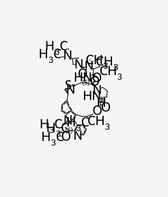 CCN(CC)C1CN(C(=O)N(C)C(C(=O)N[C@H]2Cc3nc(cs3)-c3ccc4c(c3)c(c(-c3cccnc3[C@H](C)OC)n4CC)CC(C)(C)COC(=O)[C@@H]3CCCN(N3)C2=O)C(C)C)C1